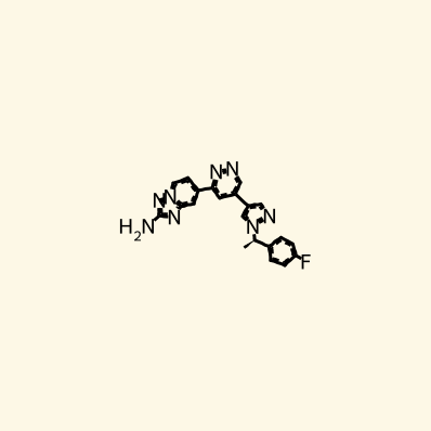 C[C@H](c1ccc(F)cc1)n1cc(-c2cnnc(-c3ccn4nc(N)nc4c3)c2)cn1